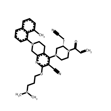 C=CC(=O)N1CCN(c2c(C#N)c(OCCCN(C)C)nc3c2CCN(c2cccc4cccc(C)c24)C3)C[C@@H]1CC#N